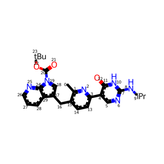 Cc1nc(-c2cnc(NC(C)C)[nH]c2=O)ccc1Cc1cn(C(=O)OC(C)(C)C)c2ncccc12